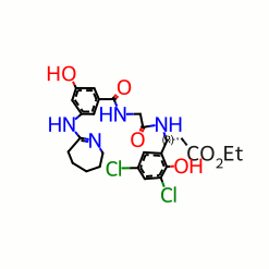 CCOC(=O)C[C@@H](NC(=O)CNC(=O)c1cc(O)cc(NC2=NCCCCC2)c1)c1cc(Cl)cc(Cl)c1O